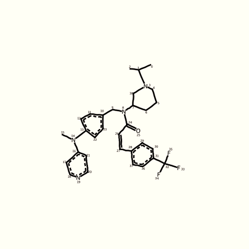 CC(C)N1CCCC(N(Cc2ccc(N(C)c3ccncc3)cc2)C(=O)C=Cc2ccc(C(F)(F)F)cc2)C1